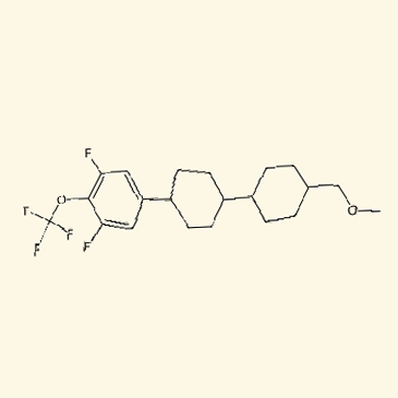 COCC1CCC(C2CCC(c3cc(F)c(OC(F)(F)F)c(F)c3)CC2)CC1